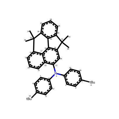 CC(C)(C)c1ccc(N(c2ccc(C(C)(C)C)cc2)c2cc3c4c5c(cccc25)C(C)(C)c2cccc(c2-4)C3(C)C)cc1